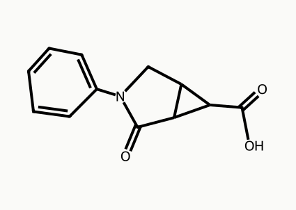 O=C(O)C1C2CN(c3ccccc3)C(=O)C21